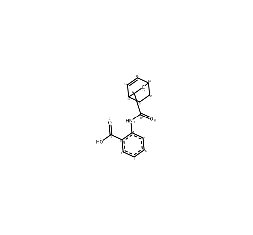 O=C(O)c1ccccc1NC(=O)C1CC2C=CC1CC2